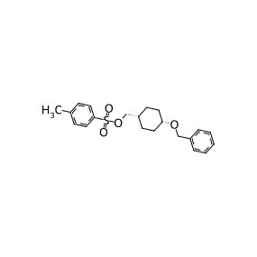 Cc1ccc(S(=O)(=O)OC[C@H]2CC[C@@H](OCc3ccccc3)CC2)cc1